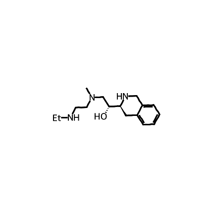 CCNCCN(C)C[C@@H](O)[C@@H]1Cc2ccccc2CN1